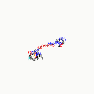 CN[C@H](C)C(=O)N[C@@H](C(=O)N1CCC[C@@H]1C1=NC(C(=O)c2ccc(F)cc2)CS1)C1CCN(C(=O)CCOCCOCCOCCOCCC(=O)NCCn2nc3c(c2C#N)-c2cnc(N)c(c2)N2CCC[C@@H]2c2cc(F)ccc2C(=O)N(C2CC2)C3)CC1